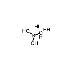 OB(O)O.[HH].[LiH]